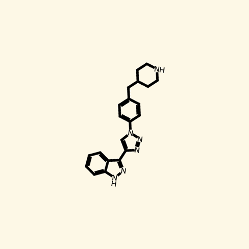 c1ccc2c(-c3cn(-c4ccc(CC5CCNCC5)cc4)nn3)n[nH]c2c1